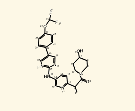 CC(C(=O)N1CCC(O)CC1)c1ccc(Nc2ncc(-c3ccc(OC(F)F)cc3)cn2)cn1